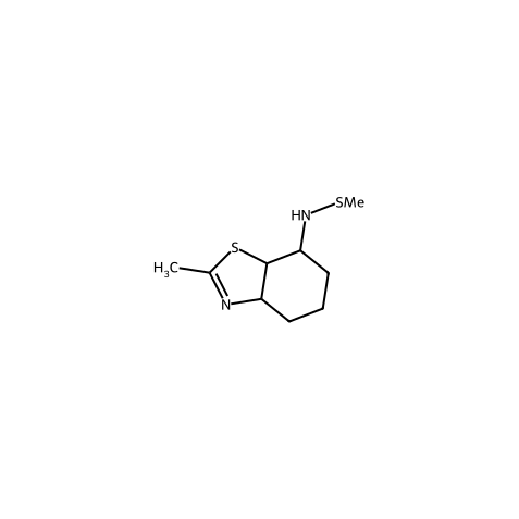 CSNC1CCCC2N=C(C)SC21